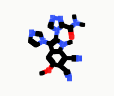 COc1cc2c(-n3ccnc3)c(-n3cnnc3C(=O)N(C)C)n(C)c2c(C#N)c1C#N